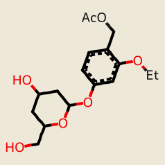 CCOc1cc(OC2CC(O)CC(CO)O2)ccc1COC(C)=O